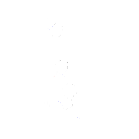 Cn1c2c(c3ccc(-n4ccc(OCc5ccc(C(F)(F)F)nc5)cc4=O)cc31)CN(C(=O)O)CC2